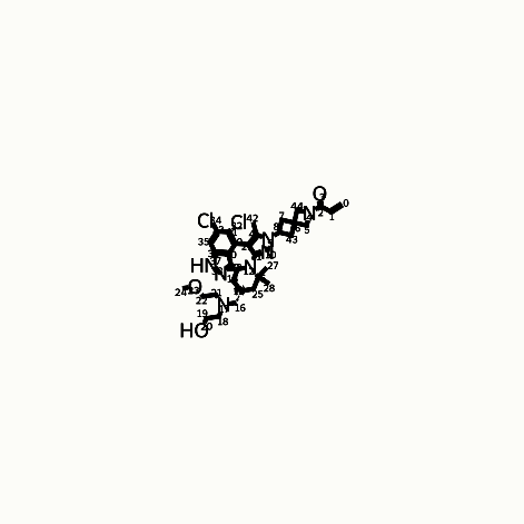 C=CC(=O)N1CC2(CC(n3nc(N4CC[C@@H](CN(CCO)CCOC)CC4(C)C)c(-c4c(Cl)c(Cl)cc5[nH]ncc45)c3C)C2)C1